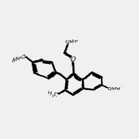 COCOc1c(-c2ccc(OC)cc2)c(C)cc2cc(OC)ccc12